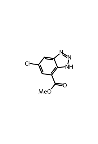 COC(=O)c1cc(Cl)cc2nn[nH]c12